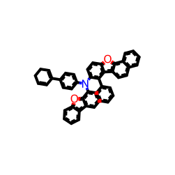 C1=CC(c2ccc(N(c3ccc4oc5c6ccccc6ccc5c4c3-c3ccccc3)c3cccc4c3oc3ccccc34)cc2)=CCC1